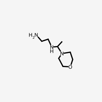 CC(NCCN)N1CCOCC1